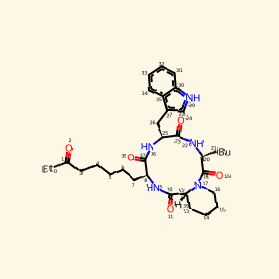 CCC(=O)CCCCC[C@@H]1NC(=O)[C@H]2CCCCN2C(=O)[C@H](C(C)CC)NC(=O)[C@H](Cc2c[nH]c3ccccc23)NC1=O